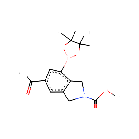 COC(=O)c1cc2c(c(B3OC(C)(C)C(C)(C)O3)c1)CN(C(=O)OC(C)(C)C)C2